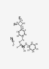 CC#N.CC(CCc1ccc(C2CC(F)C2F)cc1)N(C)Cc1ccccc1